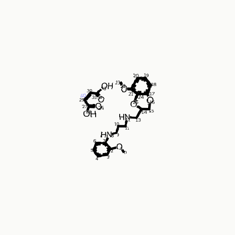 COc1ccccc1NCCCNCC1COc2cccc(OC)c2O1.O=C(O)/C=C\C(=O)O